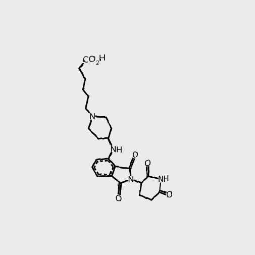 O=C(O)CCCCCN1CCC(Nc2cccc3c2C(=O)N(C2CCC(=O)NC2=O)C3=O)CC1